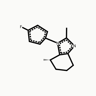 Cc1nc2c(n1-c1ccc(F)cc1)[C@@H](C)CCC2